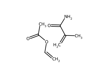 C=C(C)C(N)=O.C=COC(C)=O